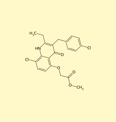 CCc1[nH]c2c(Cl)ccc(OCC(=O)OC)c2c(=O)c1Cc1ccc(Cl)cc1